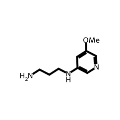 COc1cncc(NCCCN)c1